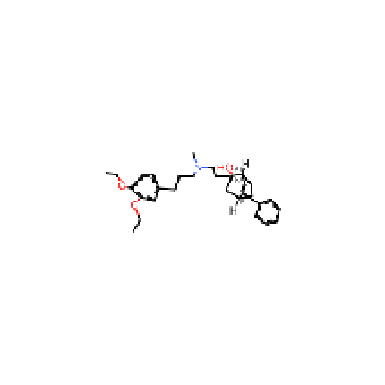 CCOc1ccc(CCCN(C)CC[C@]2(O)C[C@H]3CC[C@@H]2C=C3c2ccccc2)cc1OCC